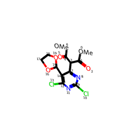 COC(=O)C(C(=O)OC)c1nc(Cl)nc(Cl)c1C1OCCO1